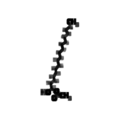 CCCCCCCCCCCCCCCCCC(O)OC(C)=O